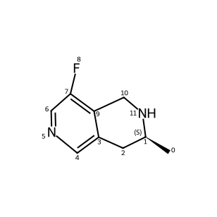 C[C@H]1Cc2cncc(F)c2CN1